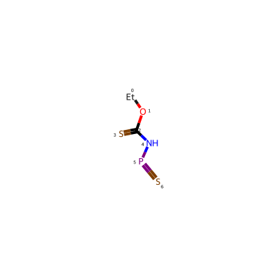 CCOC(=S)NP=S